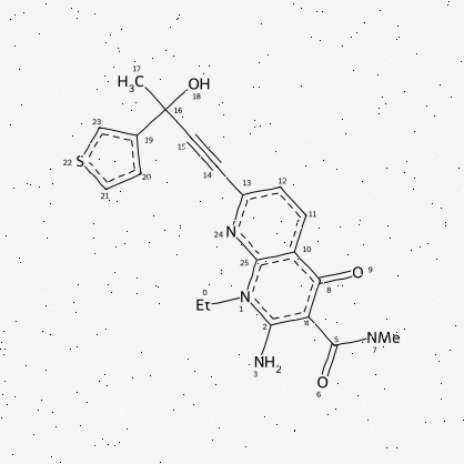 CCn1c(N)c(C(=O)NC)c(=O)c2ccc(C#CC(C)(O)c3ccsc3)nc21